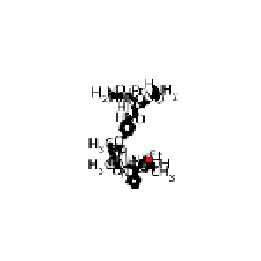 CCOCc1nc2c(NC(=O)N(C)CCN(C)C(=O)OCc3ccc(NC(=O)[C@@H](CCCNC(N)=O)NC(=O)C(NC(=O)CN)C(C)C)cc3)nc3ccccc3c2n1CC(C)(C)O